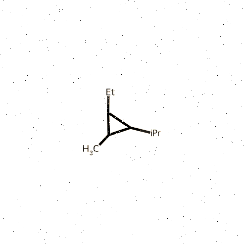 CCC1C(C)C1C(C)C